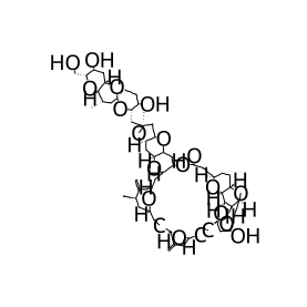 C=C1C[C@@H]2CC[C@]34CC(O)C(O3)[C@@H]3O[C@H]5CC[C@H](CC(=O)O[C@@H]6CC7OC8C[C@](C)(C[C@@H]9O[C@@]%10(CC[C@@H]9O)C[C@H](C)[C@@H]9O[C@H](CO)[C@H](O)C[C@@H]9O%10)O[C@@H]8C[C@@H]7O[C@H]6C[C@H]6O[C@@H](CC[C@@H]1O2)C[C@@H](C)C6=C)O[C@@H]5[C@H](O4)[C@@H]3I